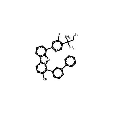 BC(B)(CC(C)(C)C)c1cnc(-c2cccc3c2oc2c(-c4cccc(-c5ccccc5)c4)c(C#N)ccc23)cc1F